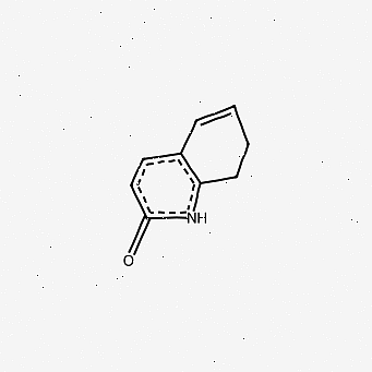 O=c1ccc2c([nH]1)CCC=C2